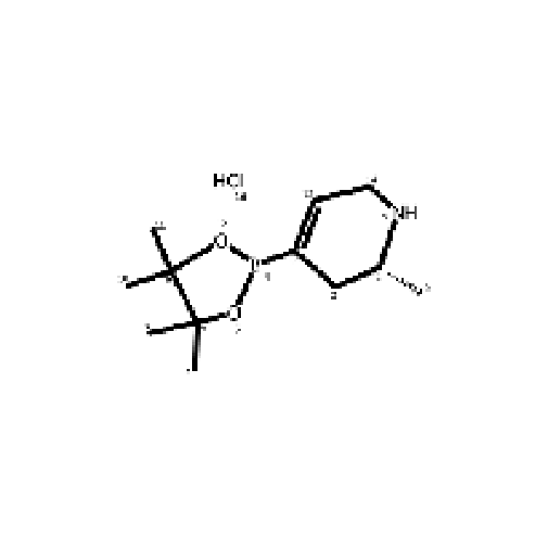 C[C@@H]1CC(B2OC(C)(C)C(C)(C)O2)=CCN1.Cl